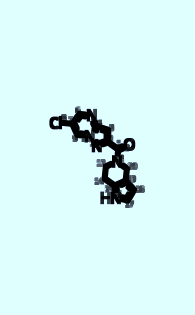 O=C(c1cc2ncc(Cl)cn2n1)N1CCc2[nH]ccc2C1